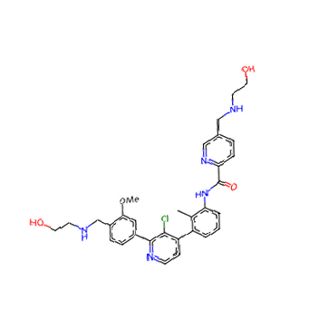 COc1cc(-c2nccc(-c3cccc(NC(=O)c4ccc(CNCCO)cn4)c3C)c2Cl)ccc1CNCCO